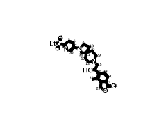 CCS(=O)(=O)c1ccc(N2CCC3(CCN(CC(O)c4ccc5c(c4C)COC5=O)CC3)C2)cn1